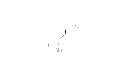 CCC[SiH2]SCCCOC